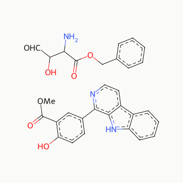 COC(=O)c1cc(-c2nccc3c2[nH]c2ccccc23)ccc1O.NC(C(=O)OCc1ccccc1)C(O)C=O